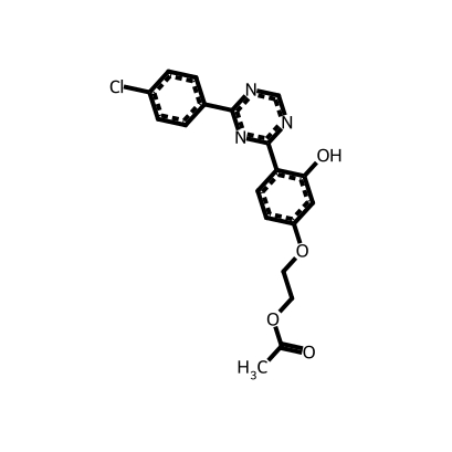 CC(=O)OCCOc1ccc(-c2ncnc(-c3ccc(Cl)cc3)n2)c(O)c1